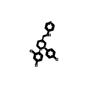 Clc1ccc(N2C[C@H](CNc3ccncc3)CC[C@H]2c2ccc(Cl)cc2Cl)cc1